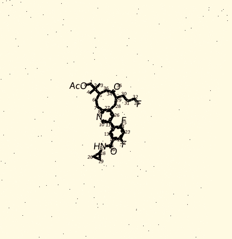 CC(=O)OCC(C)(C)C1CCc2ncc(-c3cc(C(=O)NC4CC4)c(F)cc3F)cc2CC(CCCF)C(=O)C1